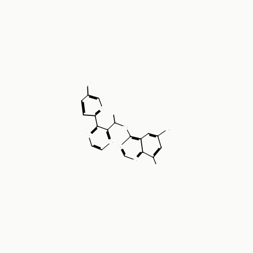 CC(Nc1ncnc2c(C(F)(F)F)cc(Br)cc12)c1nccnc1-c1ccc(C#N)cn1